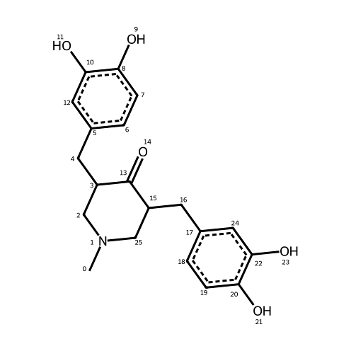 CN1CC(Cc2ccc(O)c(O)c2)C(=O)C(Cc2ccc(O)c(O)c2)C1